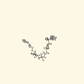 CC(C)(C)COCCCNC(C)(C)CC(C)(C)CCCCOCCC(=O)NC(C)(C)C